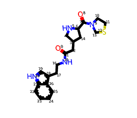 O=C(CC1CNC(C(=O)N2CCSC2)C1)NCCc1c[nH]c2ccccc12